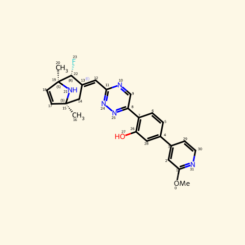 COc1cc(-c2ccc(-c3cnc(/C=C4\C[C@@]5(C)C=C[C@](C)(N5)[C@@H]4F)nn3)c(O)c2)ccn1